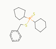 S=P(SCc1ccccc1)(C1CCCCC1)C1CCCCC1